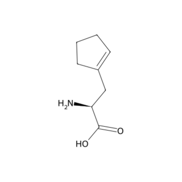 N[C@@H](CC1=CCCC1)C(=O)O